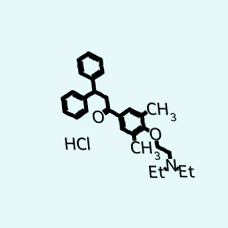 CCN(CC)CCOc1c(C)cc(C(=O)CC(c2ccccc2)c2ccccc2)cc1C.Cl